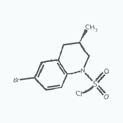 C[C@@H]1Cc2cc(Br)ccc2N(S(=O)(=O)Cl)C1